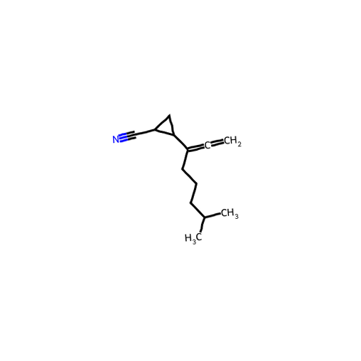 C=C=C(CCCC(C)C)C1CC1C#N